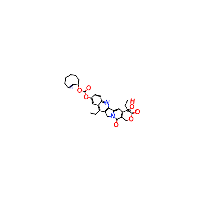 CCc1c2c(nc3ccc(OC(=O)OC4/C=C/CCCCC4)cc13)-c1cc3c(c(=O)n1C2)COC(=O)[C@]3(O)CC